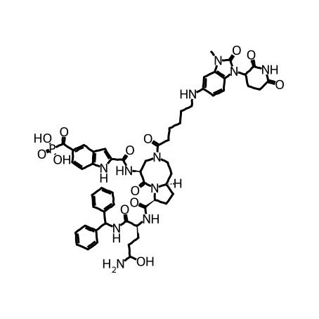 Cn1c(=O)n(C2CCC(=O)NC2=O)c2ccc(NCCCCCC(=O)N3CC[C@H]4CC[C@@H](C(=O)N[C@@H](CCC(N)O)C(=O)NC(c5ccccc5)c5ccccc5)N4C(=O)[C@@H](NC(=O)c4cc5cc(C(=O)P(=O)(O)O)ccc5[nH]4)C3)cc21